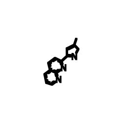 CC1=CC(c2ccc3cccnc3n2)=NC1